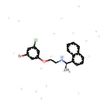 C[C@@H](NCCOc1cc(Cl)cc(Br)c1)c1cccc2ccccc12